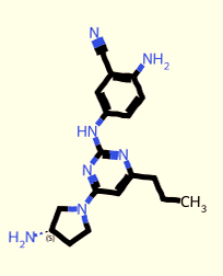 CCCc1cc(N2CC[C@H](N)C2)nc(Nc2ccc(N)c(C#N)c2)n1